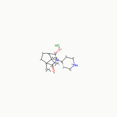 CC12CCC(C(=O)N(C3CCNCC3)C1=O)C2(C)C.Cl